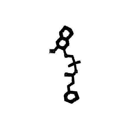 CC(C)(COc1cc2ccccc2cc1O)OC(=O)CCc1ccccc1